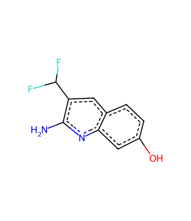 Nc1nc2cc(O)ccc2cc1C(F)F